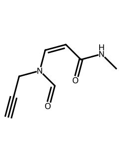 C#CCN(C=O)/C=C\C(=O)NC